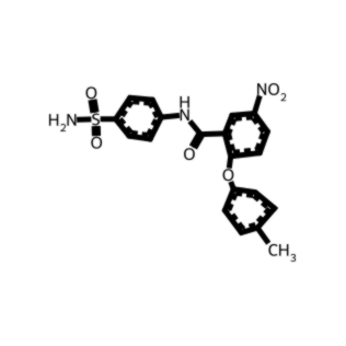 Cc1ccc(Oc2ccc([N+](=O)[O-])cc2C(=O)Nc2ccc(S(N)(=O)=O)cc2)cc1